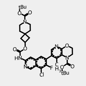 Cc1c(-c2cc3cc(NC(=O)OC4CC5(CCN(C(=O)OC(C)(C)C)CC5)C4)ncc3c(Cl)c2F)cnc2c1N(C(=O)OC(C)(C)C)CCO2